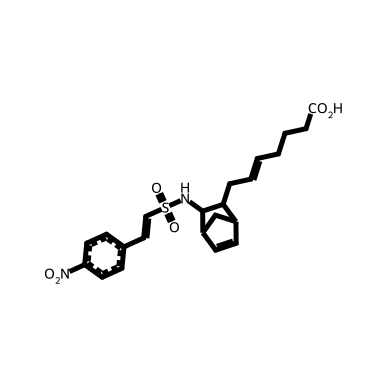 O=C(O)CCCC=CCC1C2C=CC(C2)C1NS(=O)(=O)C=Cc1ccc([N+](=O)[O-])cc1